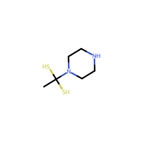 CC(S)(S)N1CCNCC1